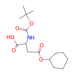 CC(C)(C)OC(=O)NC(CC(=O)OC1CCCCC1)C(=O)O